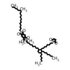 CCCCCCCCC1C(CCCCCC)CCC(CCCCCCCCC(C)(C)n2c(=O)c3cc4c(=O)n(CCCCCCCCCCCCC(C)CCCCCC)c(=O)c4cc3c2=O)C1CCCCCCCCN1C(=O)C=CC1=O